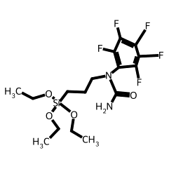 CCO[Si](CCCN(C(N)=O)c1c(F)c(F)c(F)c(F)c1F)(OCC)OCC